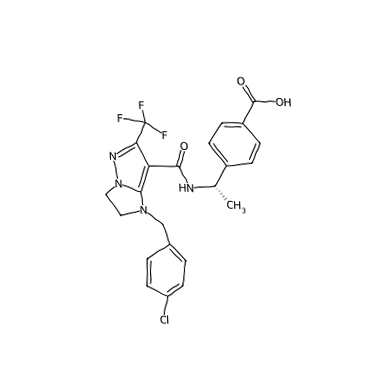 C[C@H](NC(=O)c1c(C(F)(F)F)nn2c1N(Cc1ccc(Cl)cc1)CC2)c1ccc(C(=O)O)cc1